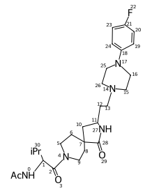 CC(=O)NC(C(=O)N1CCC2(CC1)CC(CCN1CCN(c3ccc(F)cc3)CC1)NC2=O)C(C)C